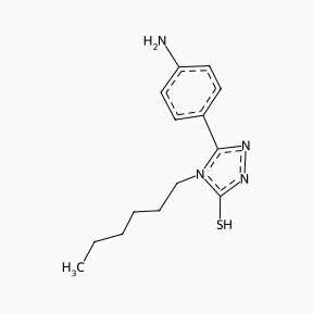 CCCCCCn1c(S)nnc1-c1ccc(N)cc1